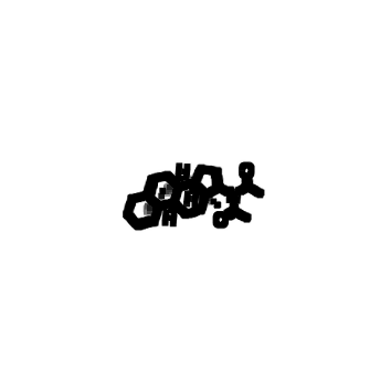 CC(=O)N(C(C)=O)C1=CC[C@H]2[C@@H]3CC=C4CCC=C[C@]4(C)[C@H]3CC[C@]12C